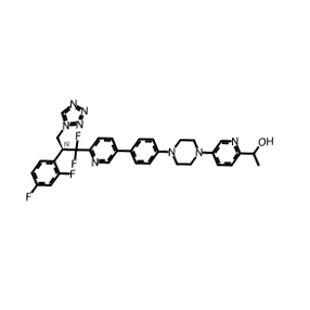 CC(O)c1ccc(N2CCN(c3ccc(-c4ccc(C(F)(F)[C@H](Cn5cnnn5)c5ccc(F)cc5F)nc4)cc3)CC2)cn1